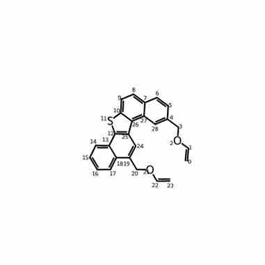 C=COCc1ccc2ccc3sc4c5ccccc5c(COC=C)cc4c3c2c1